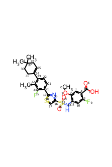 COc1cc(C(=O)O)c(F)cc1NS(=O)(=O)c1csc(-c2ccc(C3=CCC(C)(C)CC3)c(C)c2F)n1